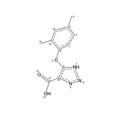 Cc1ccc(Oc2[nH]nnc2C(=O)O)c(C)c1